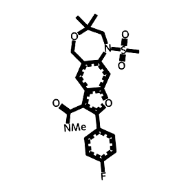 CNC(=O)c1c(-c2ccc(F)cc2)oc2cc3c(cc12)COC(C)(C)CN3S(C)(=O)=O